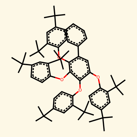 CC(C)(C)c1ccc(Oc2cc(-c3ccccc3)c(Oc3ccc(C(C)(C)C)cc3C(C)(C)C)c(Oc3ccc(C(C)(C)C)cc3C(C)(C)C)c2Oc2ccc(C(C)(C)C)cc2C(C)(C)C)c(C(C)(C)C)c1